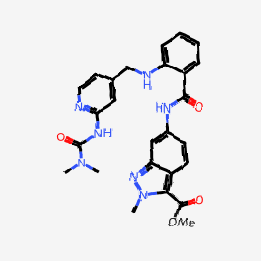 COC(=O)c1c2ccc(NC(=O)c3ccccc3NCc3ccnc(NC(=O)N(C)C)c3)cc2nn1C